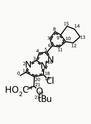 Cc1nc2cc(-c3ccc4c(c3)CCCC4)nn2c(Cl)c1C(OC(C)(C)C)C(=O)O